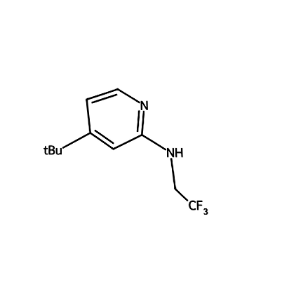 CC(C)(C)c1ccnc(NCC(F)(F)F)c1